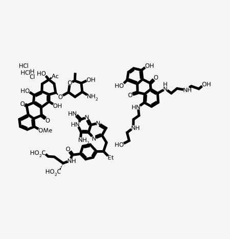 CCC(Cc1cnc2nc(=N)[nH]c(N)c2n1)c1ccc(C(=O)N[C@@H](CCC(=O)O)C(=O)O)cc1.COc1cccc2c1C(=O)c1c(O)c3c(c(O)c1C2=O)C[C@@](O)(C(C)=O)C[C@@H]3OC1CC(N)C(O)C(C)O1.Cl.Cl.Cl.O=C1c2c(O)ccc(O)c2C(=O)c2c(NCCNCCO)ccc(NCCNCCO)c21